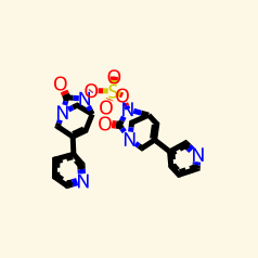 O=C1N2CC(c3cccnc3)=CC(C2)N1OS(=O)(=O)ON1C(=O)N2CC(c3cccnc3)=CC1C2